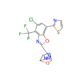 FC(F)(F)c1c(Cl)cc(-c2nccs2)c2oc(N3CC4CNCC3CO4)nc12